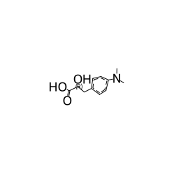 CN(C)c1ccc(C[C@@H](O)C(=O)O)cc1